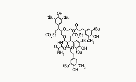 CCOC(=O)CC(c1cc(C(C)(C)C)c(O)c(C(C)(C)C)c1)C(COC(NC(=O)C(N)=O)C(OC(=O)CCc1cc(C)c(O)c(C(C)(C)C)c1)C(CC(=O)OCC)c1cc(C(C)(C)C)c(O)c(C(C)(C)C)c1)OCCOC(=O)CCc1cc(C)c(O)c(C(C)(C)C)c1